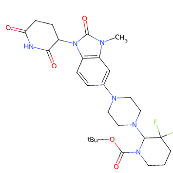 Cn1c(=O)n(C2CCC(=O)NC2=O)c2ccc(N3CCN(C4N(C(=O)OC(C)(C)C)CCCC4(F)F)CC3)cc21